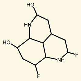 OC1CC2CC(F)NC3C(F)CC(O)C(N1)C23